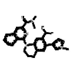 CN(C)C(=O)c1cc2ccccc2c(N2CCCc3cc(-c4cnn(C)c4)c(C(F)F)cc32)n1